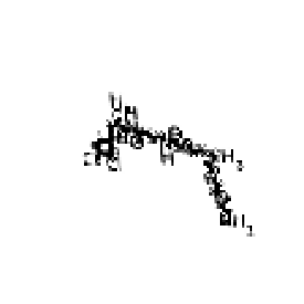 CC1CN(c2ccc(Cl)c(Cl)c2)N=C1NC(=O)CCCNC(=O)COCCN(C)CCOCCOCCN